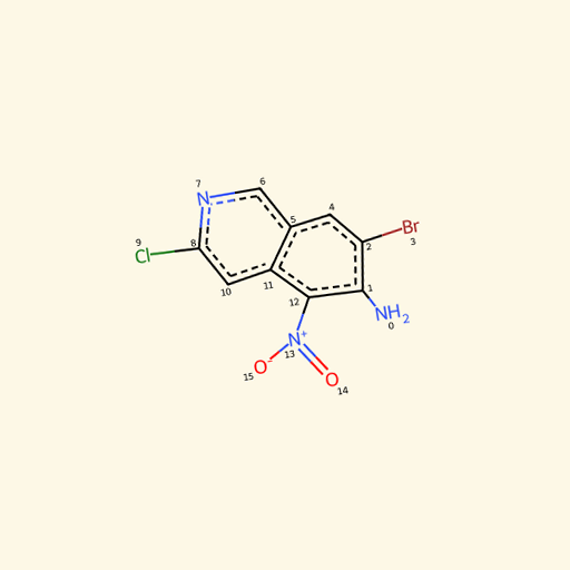 Nc1c(Br)cc2cnc(Cl)cc2c1[N+](=O)[O-]